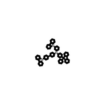 c1ccc(C2(c3ccc(N(c4ccc(-c5ccc(-n6c7ccccc7c7ccccc76)cc5)cc4)c4cccc(-n5c6ccccc6c6ccccc65)c4)cc3)c3ccccc3-c3ccccc32)cc1